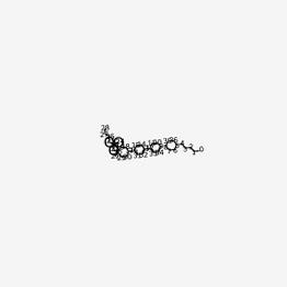 CCCCC[C@H]1CC[C@H](c2ccc(-c3ccc(C4CCC(C)(OC(=O)OCCC)CC4)cc3)cc2)CC1